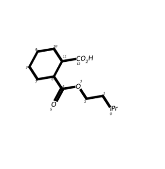 CC(C)CCOC(=O)C1CCCCC1C(=O)O